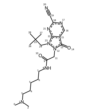 CN(C)CCCCCNC(=O)Cn1c(=O)c2cnc(C#N)nc2n1CC(C)(C)C